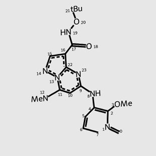 C=N/C(OC)=C(\C=C/C)Nc1cc(NC)n2ncc(C(=O)NOC(C)(C)C)c2n1